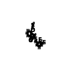 C=CCOC1=C2C=C(SCc3cccc(F)c3F)[N+]([O-])=C2CCC1